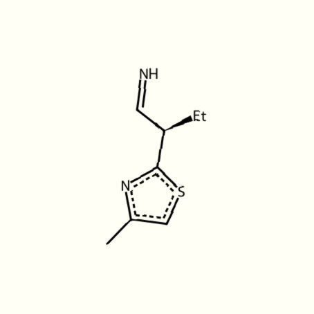 CC[C@H](C=N)c1nc(C)cs1